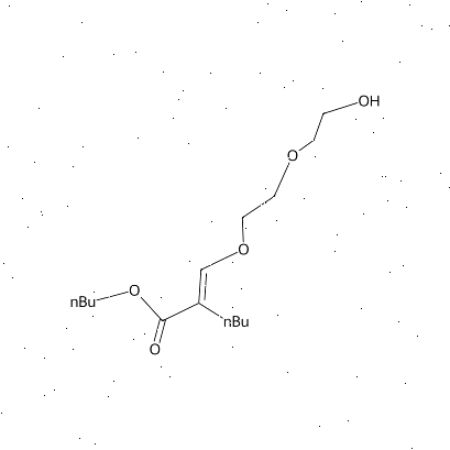 CCCCOC(=O)C(=COCCOCCO)CCCC